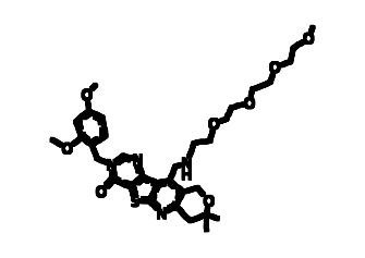 COCCOCCOCCOCCNCc1c2c(nc3sc4c(=O)n(Cc5ccc(OC)cc5OC)cnc4c13)CC(C)(C)OC2